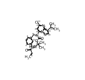 C=CC(=O)Nc1cccc(CN(C(=O)OC(C)(C)C)c2cc(Cl)nc3c(C(C)C)cnn23)c1